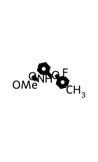 COC(=O)Nc1ccccc1COc1ccc(C)cc1F